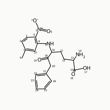 Cc1ccc([N+](=O)[O-])c(NC(CCC(N)C(=O)O)C(=O)Cc2ccccc2)c1